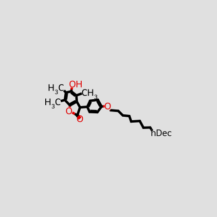 CCCCCCCCCCCCCCCCCCOc1ccc(C2C(=O)Oc3c(C)c(C)c(O)c(C)c32)cc1